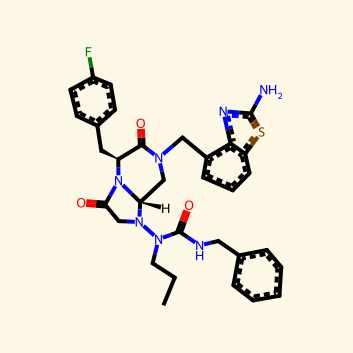 CCCN(C(=O)NCc1ccccc1)N1CC(=O)N2[C@@H](Cc3ccc(F)cc3)C(=O)N(Cc3cccc4sc(N)nc34)C[C@@H]21